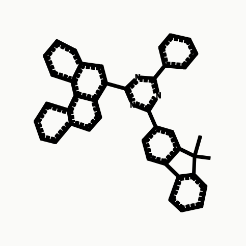 CC1(C)c2ccccc2-c2ccc(-c3nc(-c4ccccc4)nc(-c4cc5ccccc5c5c4ccc4ccccc45)n3)cc21